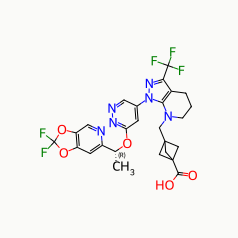 C[C@@H](Oc1cc(-n2nc(C(F)(F)F)c3c2N(CC24CC(C(=O)O)(C2)C4)CCC3)cnn1)c1cc2c(cn1)OC(F)(F)O2